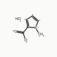 Cl.Cn1cccc1C(=O)Cl